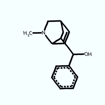 CN1CC2C=CC1C(C(O)c1ccccc1)C2